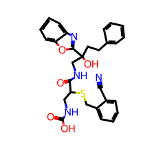 N#Cc1ccccc1CSC(CNC(=O)O)C(=O)NCC(O)(CCc1ccccc1)c1nc2ccccc2o1